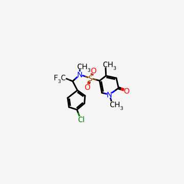 Cc1cc(=O)n(C)cc1S(=O)(=O)N(C)C(c1ccc(Cl)cc1)C(F)(F)F